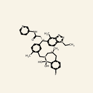 CCn1nnc2c(C)c([C@@H](CC(=O)Nc3cccnc3)c3ccc(C)c(CN4C[C@@H](C)Cc5ccc(F)cc5S4(O)O)c3)ccc21